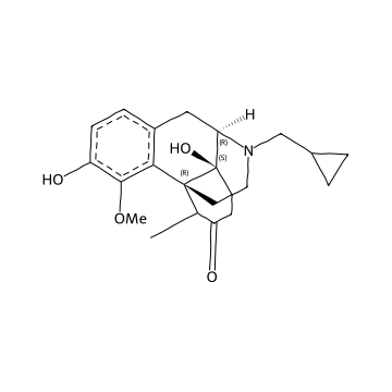 COc1c(O)ccc2c1[C@]13CCN(CC4CC4)[C@H](C2)[C@]1(O)CCC(=O)C3C